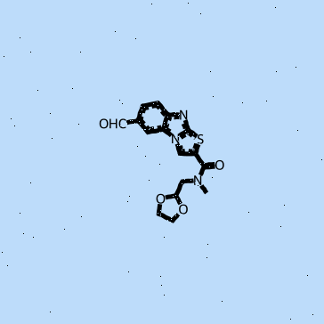 CN(CC1OCCO1)C(=O)c1cn2c(nc3ccc(C=O)cc32)s1